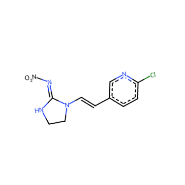 O=[N+]([O-])N=C1NCCN1C=Cc1ccc(Cl)nc1